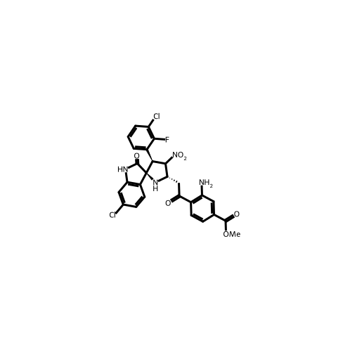 COC(=O)c1ccc(C(=O)C[C@@H]2N[C@@]3(C(=O)Nc4cc(Cl)ccc43)[C@@H](c3cccc(Cl)c3F)C2[N+](=O)[O-])c(N)c1